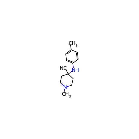 Cc1ccc(NC2(C#N)CCN(C)CC2)cc1